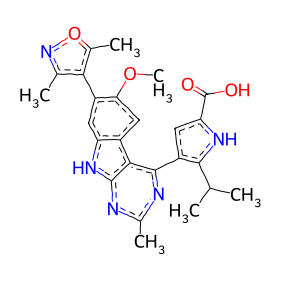 COc1cc2c(cc1-c1c(C)noc1C)[nH]c1nc(C)nc(-c3cc(C(=O)O)[nH]c3C(C)C)c12